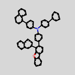 c1ccc(-c2ccc(N(c3ccc(-c4ccc5c(oc6ccccc65)c4-c4ccc5ccccc5c4)cc3)c3ccc(-c4cccc5ccccc45)cc3)cc2)cc1